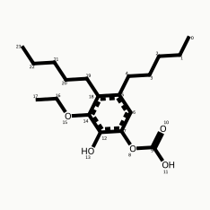 CCCCCc1cc(OC(=O)O)c(O)c(OCC)c1CCCCC